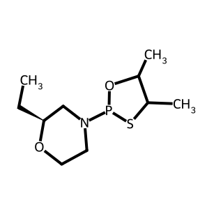 CC[C@H]1CN(P2OC(C)C(C)S2)CCO1